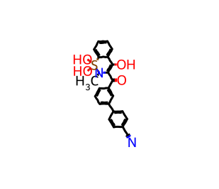 CN1C(C(=O)c2cccc(-c3ccc(C#N)cc3)c2)=C(O)c2ccccc2S1(O)O